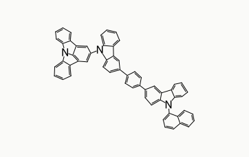 c1ccc2c(-n3c4ccccc4c4cc(-c5ccc(-c6ccc7c(c6)c6ccccc6n7-c6cc7c8ccccc8n8c9ccccc9c(c6)c78)cc5)ccc43)cccc2c1